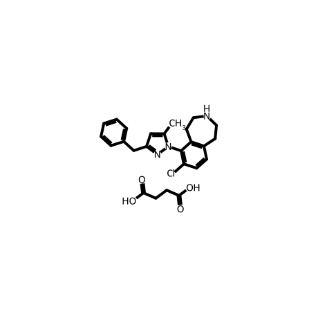 Cc1cc(Cc2ccccc2)nn1-c1c(Cl)ccc2c1CCNCC2.O=C(O)CCC(=O)O